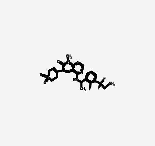 CC(Nc1ncnc2c1cc(C1=CCS(=O)(=O)CC1)c(=O)n2C)c1cccc(C(F)(F)CN)c1F